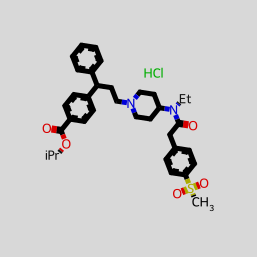 CCN(C(=O)Cc1ccc(S(C)(=O)=O)cc1)C1CCN(CCC(c2ccccc2)c2ccc(C(=O)OC(C)C)cc2)CC1.Cl